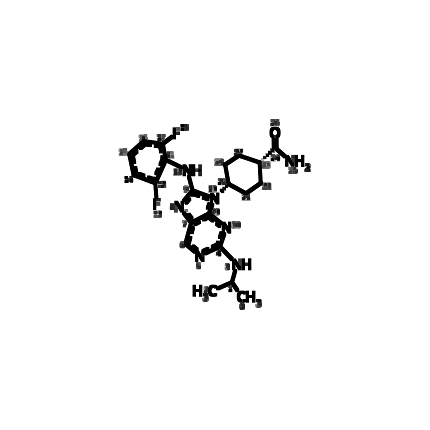 CC(C)Nc1ncc2nc(Nc3c(F)cccc3F)n([C@H]3CC[C@@H](C(N)=O)CC3)c2n1